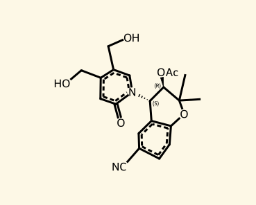 CC(=O)O[C@@H]1[C@@H](n2cc(CO)c(CO)cc2=O)c2cc(C#N)ccc2OC1(C)C